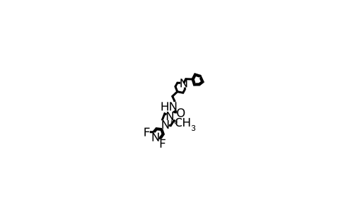 C[C@@H]1CN(c2cc(F)nc(F)c2)CCN1C(=O)NCCC1CCN(Cc2ccccc2)CC1